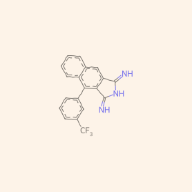 N=C1NC(=N)c2c1cc1ccccc1c2-c1cccc(C(F)(F)F)c1